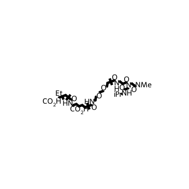 CCC(C)(CC(=O)O)CC(C)(C)C(=O)N[C@@H](CCCCC(C)(C)C(=O)NCCOCCOCCC(C)(C)C(=O)NCCC(=O)N(CC(=O)NC)CC(=O)NC(C)C)C(=O)O